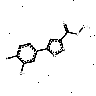 COC(=O)c1cc(-c2ccc(F)c(O)c2)on1